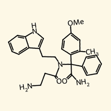 COc1ccc(C(C(N)=O)(c2ccccc2)N(CCc2c[nH]c3ccccc23)C(=O)CCN)c(C)c1